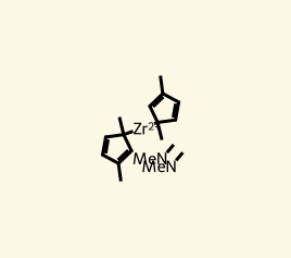 CC1=C[C](C)([Zr+2][C]2(C)C=CC(C)=C2)C=C1.C[N-]C.C[N-]C